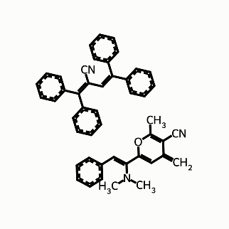 C=C1C=C(C(=Cc2ccccc2)N(C)C)OC(C)=C1C#N.N#CC(C=C(c1ccccc1)c1ccccc1)=C(c1ccccc1)c1ccccc1